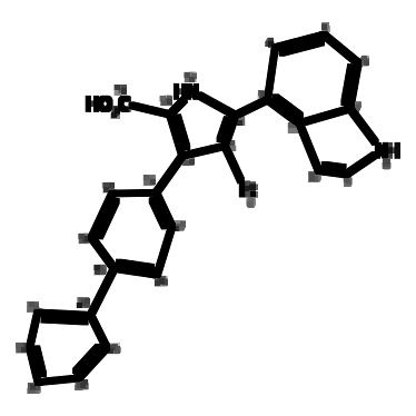 CCc1c(-c2cccc3[nH]ccc23)[nH]c(C(=O)O)c1-c1ccc(-c2ccccc2)cc1